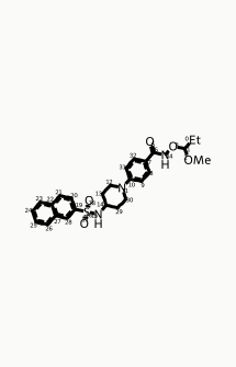 CCC(OC)ONC(=O)c1ccc(N2CCC(NS(=O)(=O)c3ccc4ccccc4c3)CC2)cc1